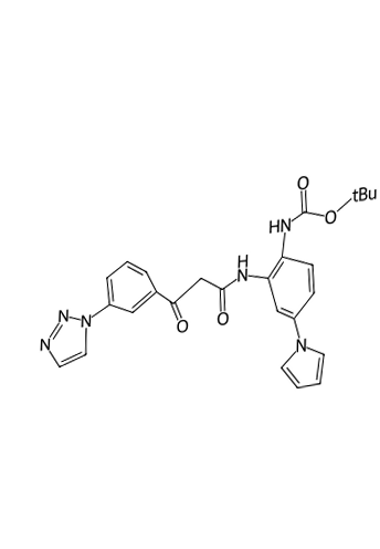 CC(C)(C)OC(=O)Nc1ccc(-n2cccc2)cc1NC(=O)CC(=O)c1cccc(-n2ccnn2)c1